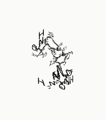 Cc1cc(-n2nc(N)c(=O)[nH]c2=O)cc(C)c1Cc1ccc2c(c1)C1(CC1)C(=O)N2